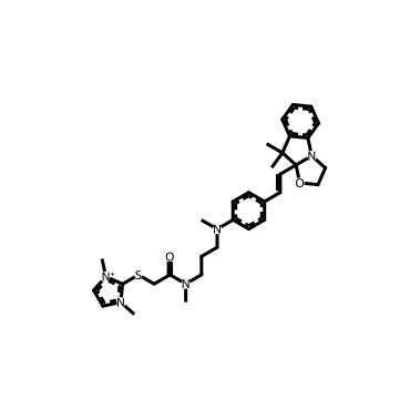 CN(CCCN(C)c1ccc(/C=C/C23OCCN2c2ccccc2C3(C)C)cc1)C(=O)CSc1n(C)cc[n+]1C